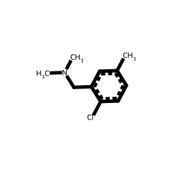 Cc1ccc(Cl)c(CN(C)C)c1